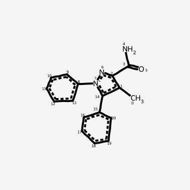 Cc1c(C(N)=O)nn(-c2ccccc2)c1-c1ccccc1